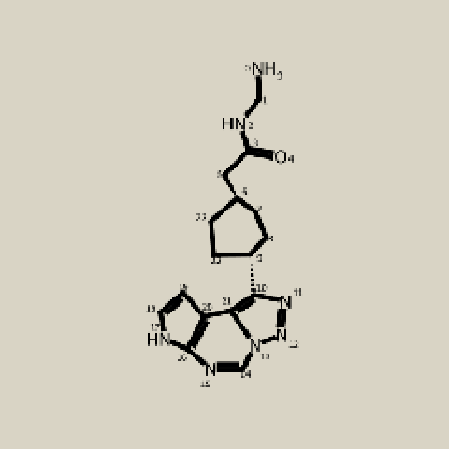 NCNC(=O)C[C@H]1CC[C@H](c2nnn3cnc4[nH]ccc4c23)CC1